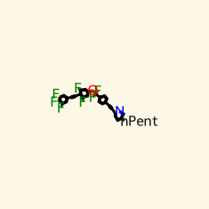 CCCCCc1ccc(C#Cc2ccc(C(F)(F)Oc3cc(F)c(C#Cc4cc(F)c(F)c(F)c4)c(F)c3)cc2)nc1